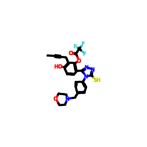 CC#CCc1c(O)ccc(-c2nnc(S)n2-c2ccc(CN3CCOCC3)cc2)c1OC(=O)C(F)(F)F